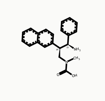 CN(C[C@@H](c1ccc2ccccc2c1)[C@H](N)c1ccccc1)C(=O)O